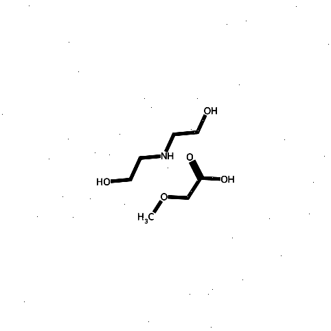 COCC(=O)O.OCCNCCO